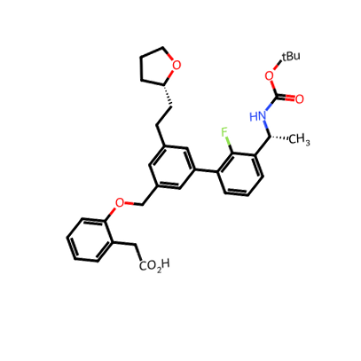 C[C@@H](NC(=O)OC(C)(C)C)c1cccc(-c2cc(CC[C@@H]3CCCO3)cc(COc3ccccc3CC(=O)O)c2)c1F